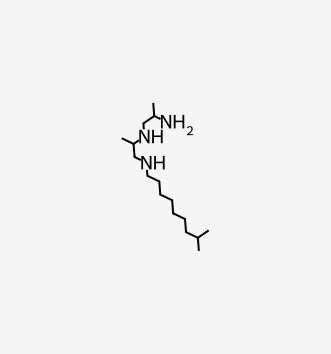 CC(C)CCCCCCCNCC(C)NCC(C)N